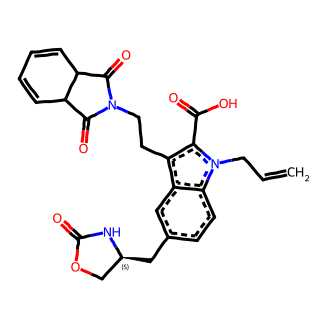 C=CCn1c(C(=O)O)c(CCN2C(=O)C3C=CC=CC3C2=O)c2cc(C[C@H]3COC(=O)N3)ccc21